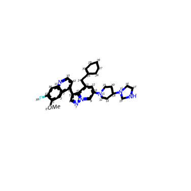 COc1cc2c(-c3cnn4cc(N5CCC(N6CCNC6)CC5)cc(CC5CCCCC5)c34)ccnc2cc1F